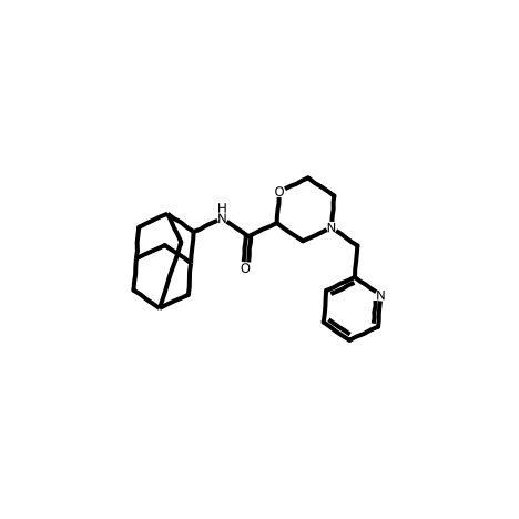 O=C(NC1C2CC3CC(C2)CC1C3)C1CN(Cc2ccccn2)CCO1